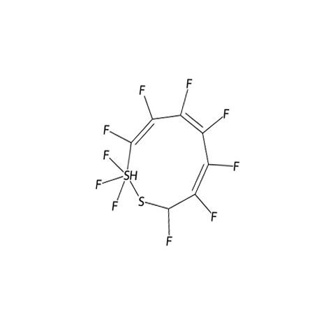 FC1=C(F)C(F)=C(F)[SH](F)(F)(F)SC(F)C(F)=C1F